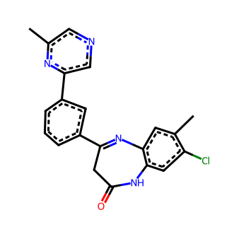 Cc1cncc(-c2cccc(C3=Nc4cc(C)c(Cl)cc4NC(=O)C3)c2)n1